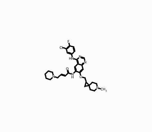 CN1CCC2(CC1)CC2COc1cc2ncnc(Nc3ccc(F)c(Cl)c3)c2cc1NC(=O)/C=C/CN1CCCCC1